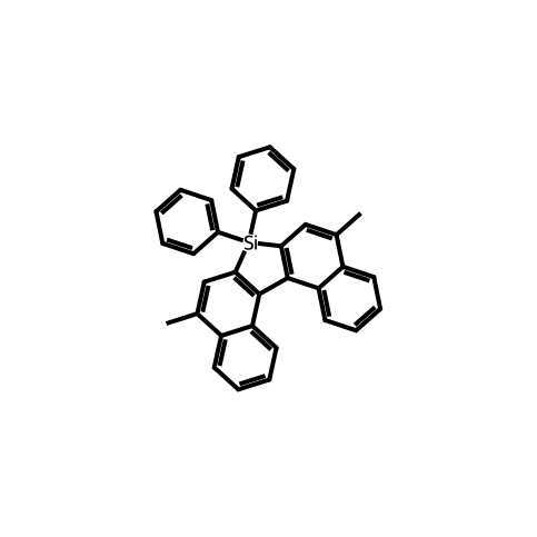 Cc1cc2c(c3ccccc13)-c1c(cc(C)c3ccccc13)[Si]2(c1ccccc1)c1ccccc1